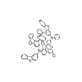 Clc1ccc2c(c1)Oc1cc(N(c3ccccc3)c3cc(-c4ccccc4)c4c(c3)sc3ccccc34)ccc1C21c2ccccc2-c2c(N(c3cc(-c4ccccc4)c4c(c3)oc3ccccc34)c3ccc4sc5ccccc5c4c3)cccc21